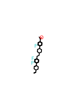 C=CC1CC=C(c2ccc(CCC3CCC(c4ccc(C5CO5)cc4F)CC3)c(F)c2F)CC1